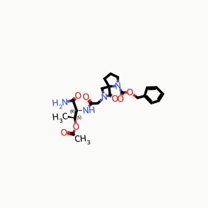 CC(=O)O[C@@H](C)[C@@H](NC(=O)CN1CC2(CCCN2C(=O)OCc2ccccc2)C1=O)C(N)=O